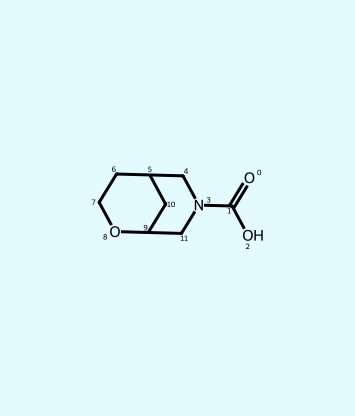 O=C(O)N1CC2CCOC(C2)C1